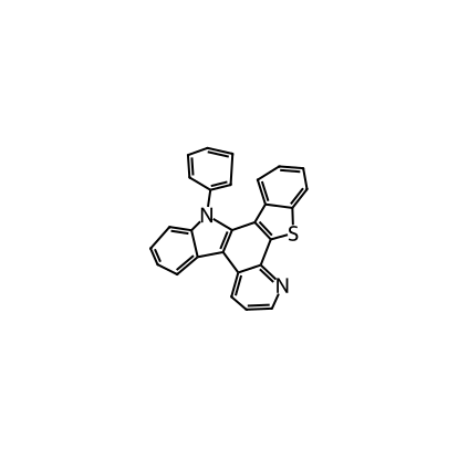 c1ccc(-n2c3ccccc3c3c4cccnc4c4sc5ccccc5c4c32)cc1